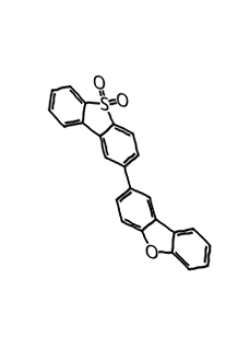 O=S1(=O)c2ccccc2-c2cc(-c3ccc4oc5ccccc5c4c3)ccc21